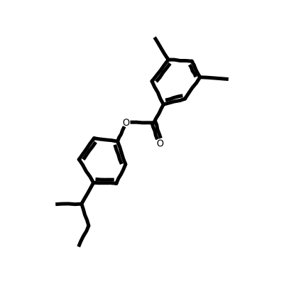 CCC(C)c1ccc(OC(=O)c2cc(C)cc(C)c2)cc1